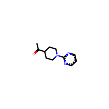 CC(=O)C1CCN(c2ncccn2)CC1